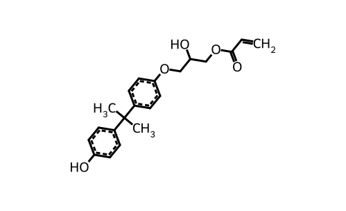 C=CC(=O)OCC(O)COc1ccc(C(C)(C)c2ccc(O)cc2)cc1